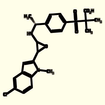 C[C@@H](NC1OC1c1cc2cc(Cl)ccc2n1C)c1ccc(S(=O)(=O)C(C)(C)C(=O)O)cc1